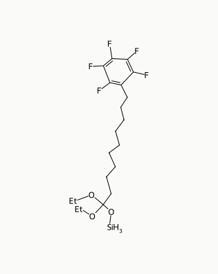 CCOC(CCCCCCCCCc1c(F)c(F)c(F)c(F)c1F)(O[SiH3])OCC